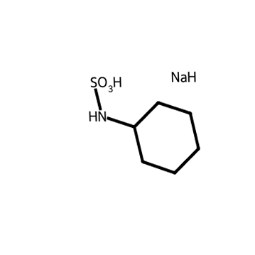 O=S(=O)(O)NC1CCCCC1.[NaH]